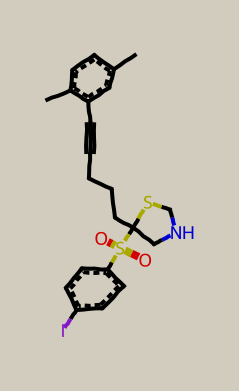 Cc1ccc(C)c(C#CCCCC2(S(=O)(=O)c3ccc(I)cc3)CNCS2)c1